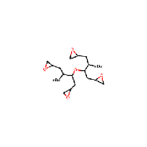 CCCCC(CC1CO1)C(CC1CO1)OC(CC1CO1)C(CCCC)CC1CO1